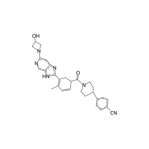 CC1=C(c2nc3cc(N4CC(O)C4)ncc3[nH]2)CC(C(=O)N2CCC(c3ccc(C#N)cc3)CC2)C=C1